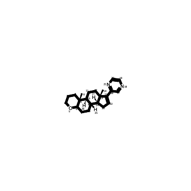 C[C@]12CCCOC1CC[C@@H]1[C@@H]2CC[C@]2(C)C(c3cnccn3)=CC[C@@H]12